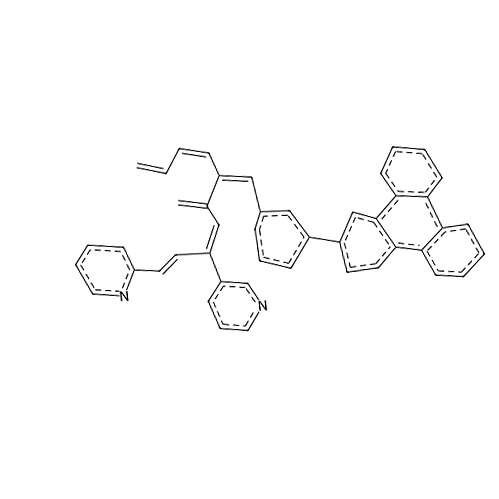 C=C/C=C\C(=C\c1cccc(-c2ccc3c4ccccc4c4ccccc4c3c2)c1)C(=C)/C=C(\C=C\c1ccccn1)c1cccnc1